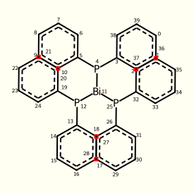 c1ccc([P](c2ccccc2)[Bi]([P](c2ccccc2)c2ccccc2)[P](c2ccccc2)c2ccccc2)cc1